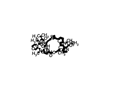 CCn1c(-c2cccnc2[C@H](C)OC)c2c3cc(ccc31)-c1csc(n1)C[C@H](NC(=O)[C@H](C(C)C)N(C)C(=O)N1CCOC[C@@H]1CN(C)C)C(=O)N1CCC[C@H](N1)C(=O)OCC(C)(C)C2